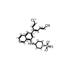 CCS(=O)(=O)N1CCC(Nc2cc(C(/C=C/Cl)=C/C=C/C#N)cc3ccncc23)CC1